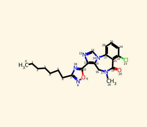 CCCCCCCc1noc(-c2ncn3c2CN(C)C(=O)c2c(Cl)cccc2-3)n1